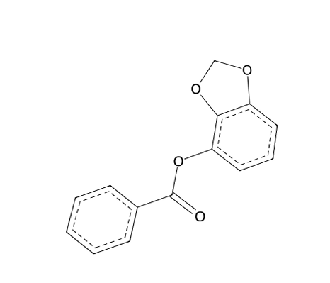 O=C(Oc1cccc2c1OCO2)c1ccccc1